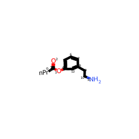 CCCC(=O)Oc1cccc(CCN)c1